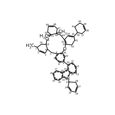 CC1C=CC2Cc3ccc(-c4cccc5c4c4ccccc4n5C4C=CC=CC4)cc3OC3=C(C=C(C4CC=CCC4)CC3)CC3(C)CC=CCC3(C)OC2C1